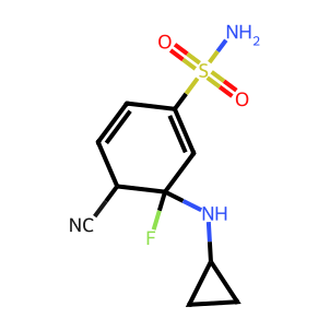 N#CC1C=CC(S(N)(=O)=O)=CC1(F)NC1CC1